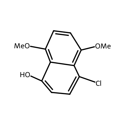 COc1ccc(OC)c2c(Cl)ccc(O)c12